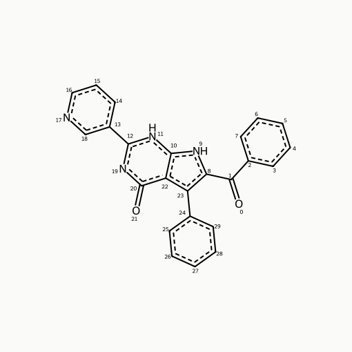 O=C(c1ccccc1)c1[nH]c2[nH]c(-c3cccnc3)nc(=O)c2c1-c1ccccc1